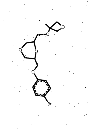 CC1(OCC2COCC(COc3ccc(Br)cc3)O2)COC1